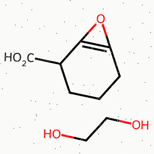 O=C(O)C1CCCC2=C1O2.OCCO